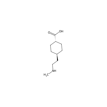 CNCC[C@H]1CC[C@H](C(=O)O)CC1